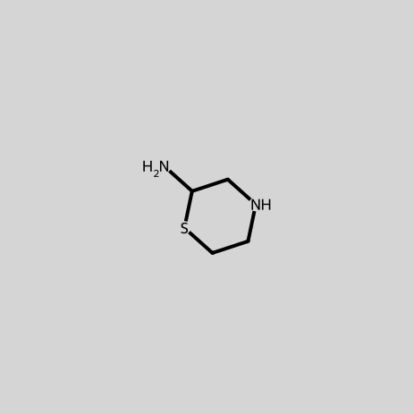 NC1CNCCS1